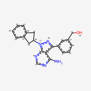 Nc1ncnc2c1c(-c1cccc(CO)c1)nn2C1Cc2ccccc2C1